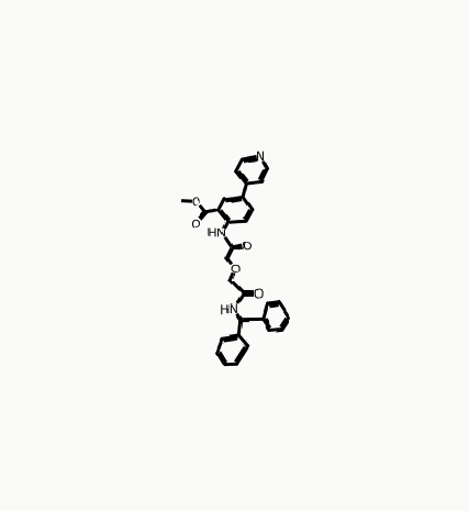 COC(=O)c1cc(-c2ccncc2)ccc1NC(=O)COCC(=O)NC(c1ccccc1)c1ccccc1